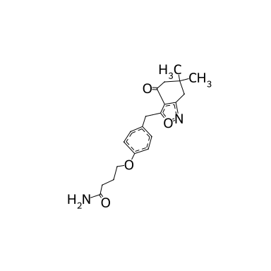 CC1(C)CC(=O)c2c(noc2Cc2ccc(OCCCC(N)=O)cc2)C1